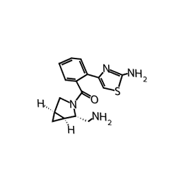 NC[C@@H]1[C@H]2C[C@H]2CN1C(=O)c1ccccc1-c1csc(N)n1